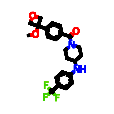 COC1(c2ccc(C(=O)N3CCC(Nc4ccc(C(F)(F)F)cc4)CC3)cc2)COC1